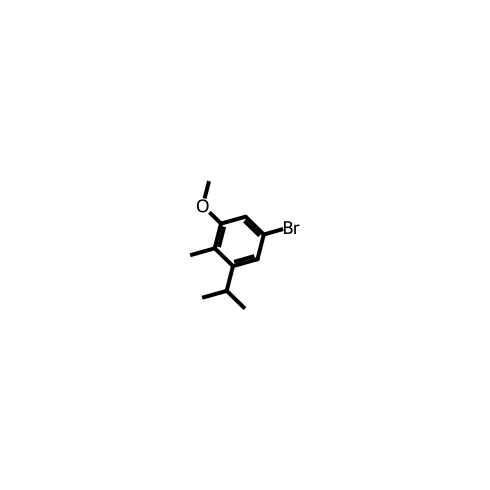 COc1cc(Br)cc(C(C)C)c1C